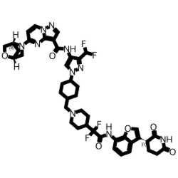 O=C1CC[C@H](c2coc3c(NC(=O)C(F)(F)C4CCN(CC5CCC(n6cc(NC(=O)c7cnn8ccc(N9C[C@H]%10C[C@@H]9CO%10)nc78)c(C(F)F)n6)CC5)CC4)cccc23)C(=O)N1